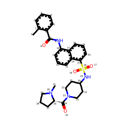 Cc1ccccc1C(=O)Nc1cccc2c(S(=O)(=O)NC3CCN(C(=O)[C@@H]4CCCN4C)CC3)cccc12